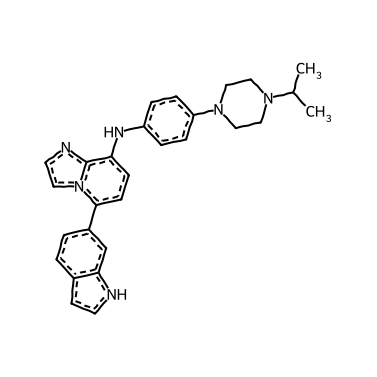 CC(C)N1CCN(c2ccc(Nc3ccc(-c4ccc5cc[nH]c5c4)n4ccnc34)cc2)CC1